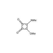 CNc1c(OC)c(=O)c1=O